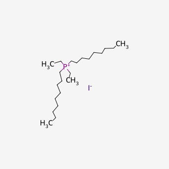 CCCCCCCCC[P+](CC)(CC)CCCCCCCCC.[I-]